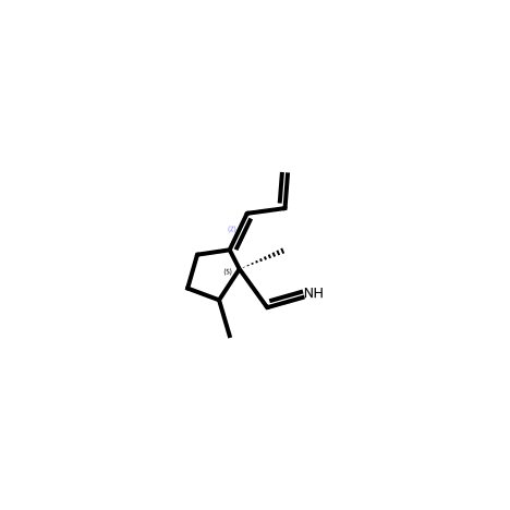 C=C/C=C1/CCC(C)[C@]1(C)C=N